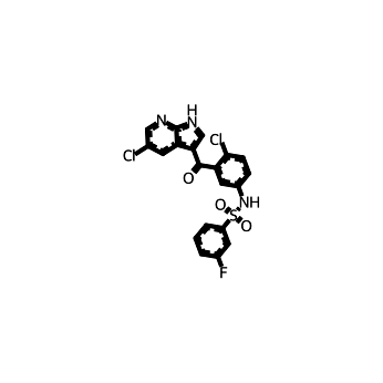 O=C(c1cc(NS(=O)(=O)c2cccc(F)c2)ccc1Cl)c1c[nH]c2ncc(Cl)cc12